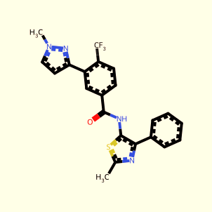 Cc1nc(-c2ccccc2)c(NC(=O)c2ccc(C(F)(F)F)c(-c3ccn(C)n3)c2)s1